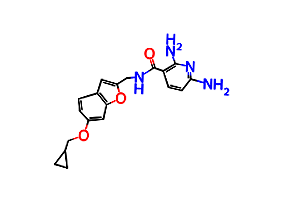 Nc1ccc(C(=O)NCc2cc3ccc(OCC4CC4)cc3o2)c(N)n1